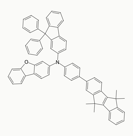 CC1(C)C2=C(c3ccccc31)C(C)(C)c1cc(-c3ccc(N(c4ccc5c(c4)C(c4ccccc4)(c4ccccc4)c4ccccc4-5)c4ccc5c(c4)oc4ccccc45)cc3)ccc12